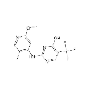 COc1cc(Nc2ncc(C(F)(F)F)c(O)n2)c(C)cn1